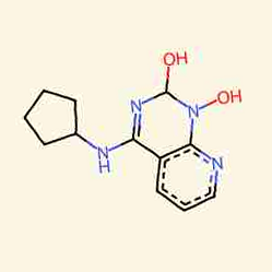 OC1N=C(NC2CCCC2)c2cccnc2N1O